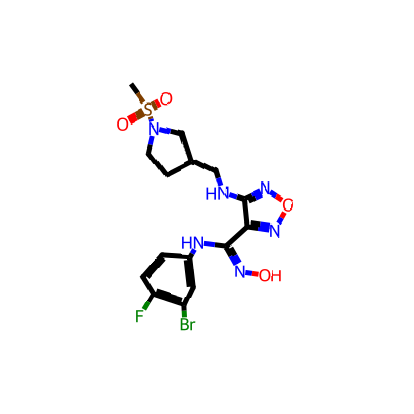 CS(=O)(=O)N1CCC(CNc2nonc2C(=NO)Nc2ccc(F)c(Br)c2)C1